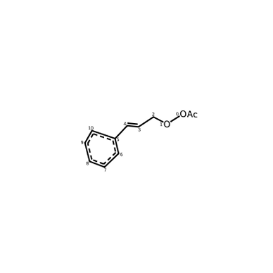 CC(=O)OOC/C=C/c1ccccc1